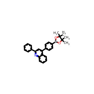 CC1(C)OB(c2ccc(-c3cc(-c4ccccc4)nc4ccccc34)cc2)OC1(C)C